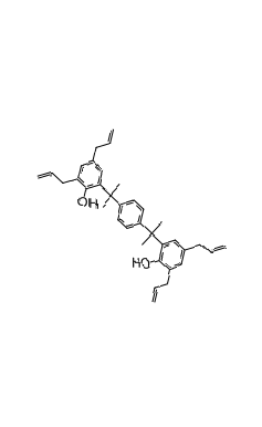 C=CCc1cc(CC=C)c(O)c(C(C)(C)c2ccc(C(C)(C)c3cc(CC=C)cc(CC=C)c3O)cc2)c1